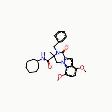 COc1ccc(OC)c2c1cc1n2CC(C)(C(=O)NC2CCCCCC2)N(Cc2ccccc2)C1=O